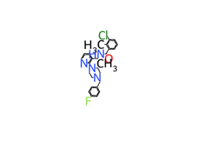 Cc1c(Cl)cccc1C(=O)NCc1cccnc1N1CCN(Cc2ccc(F)cc2)CC1C